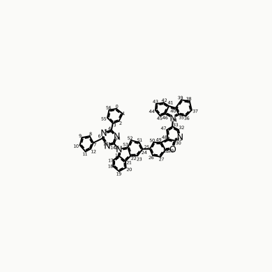 c1ccc(-c2nc(-c3ccccc3)nc(-n3c4ccccc4c4cc(-c5ccc6oc7ncc(-n8c9ccccc9c9ccccc98)cc7c6c5)ccc43)n2)cc1